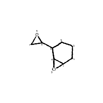 C1CC2OC2C(C2CO2)C1